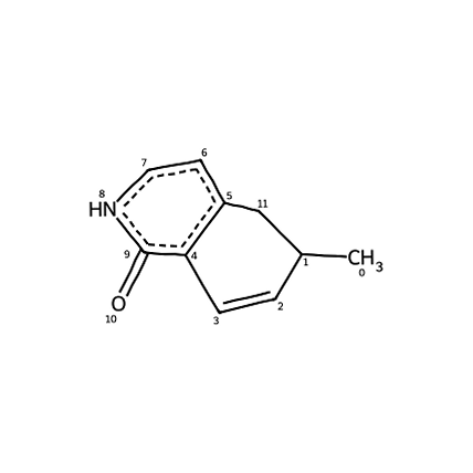 CC1C=Cc2c(cc[nH]c2=O)C1